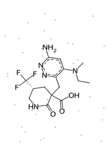 CCN(C)c1cc(N)nnc1CC1(C(=O)O)C[C@@H](C(F)(F)F)CNC1=O